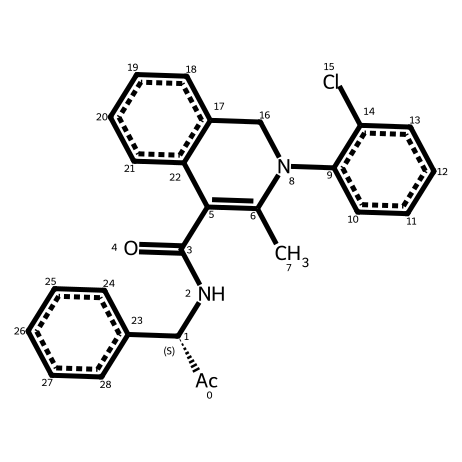 CC(=O)[C@@H](NC(=O)C1=C(C)N(c2ccccc2Cl)Cc2ccccc21)c1ccccc1